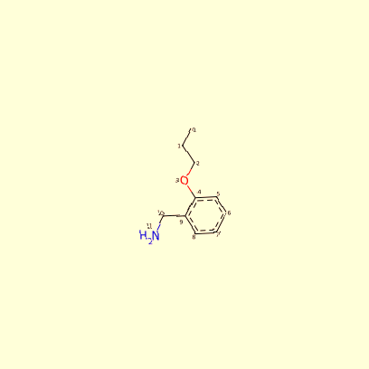 CCCOc1cc[c]cc1CN